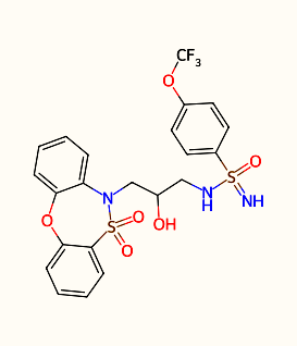 N=S(=O)(NCC(O)CN1c2ccccc2Oc2ccccc2S1(=O)=O)c1ccc(OC(F)(F)F)cc1